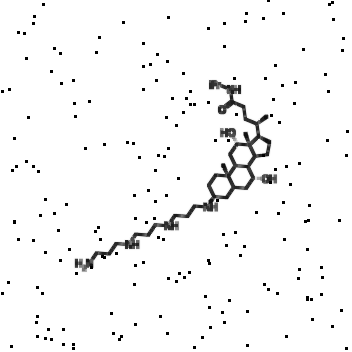 CC(C)NC(=O)CC[C@@H](C)[C@H]1CCC2C3C(C[C@H](O)[C@@]21C)[C@@]1(C)CC[C@H](NCCCNCCCNCCCN)CC1C[C@H]3O